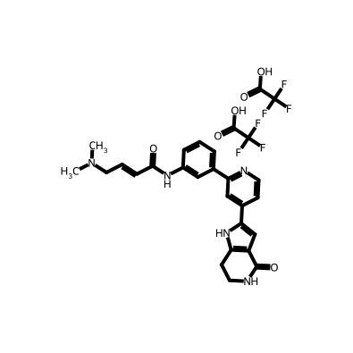 CN(C)CC=CC(=O)Nc1cccc(-c2cc(-c3cc4c([nH]3)CCNC4=O)ccn2)c1.O=C(O)C(F)(F)F.O=C(O)C(F)(F)F